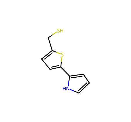 SCc1ccc(-c2ccc[nH]2)s1